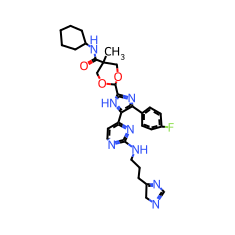 CC1(C(=O)NC2CCCCC2)COC(c2nc(-c3ccc(F)cc3)c(-c3ccnc(NCCCC4=NC=NC4)n3)[nH]2)OC1